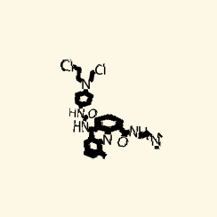 Cc1cccc2c(NC(=O)Nc3ccc(N(CCCl)CCCl)cc3)c3cccc(C(=O)NCCN(C)C)c3nc12